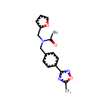 CCC(C)C(=O)N(Cc1ccc(-c2noc(C(F)(F)F)n2)cc1)Cc1ccco1